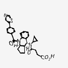 O=C(O)CCC(=O)N(C1CC1)[C@H]1c2ccccc2N(C(=O)c2ccc(-c3cncs3)cc2)[C@@H]2CCC[C@@H]21